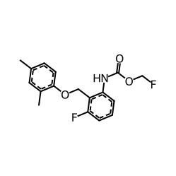 Cc1ccc(OCc2c(F)cccc2NC(=O)OCF)c(C)c1